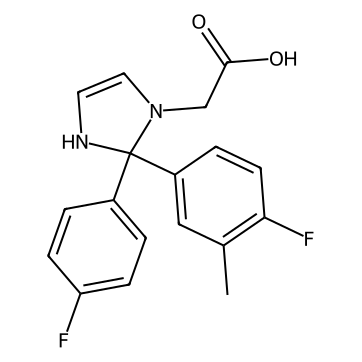 Cc1cc(C2(c3ccc(F)cc3)NC=CN2CC(=O)O)ccc1F